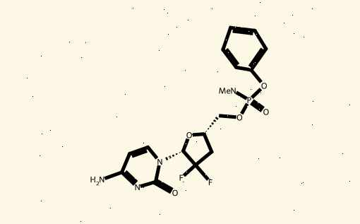 CNP(=O)(OC[C@@H]1CC(F)(F)[C@H](n2ccc(N)nc2=O)O1)Oc1ccccc1